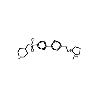 C[C@@H]1CCCN1CCc1ccc(-c2ccc(S(=O)(=O)CC3CCOCC3)cc2)cc1